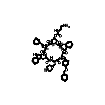 NCCNC(=O)O[C@@H]1C[C@H]2C(=O)N[C@H](CCc3ccccc3)C(=O)N[C@@H](Cc3c[nH]c4ccccc34)C(=O)N[C@@H](CN3CCNCC3)C(=O)N[C@@H](Cc3ccc(OCc4ccccc4)cc3)C(=O)N3Cc4ccccc4C[C@H]3C(=O)N2C1